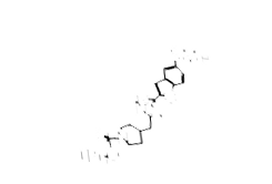 CSc1ccc2oc(-c3nc(CC4CCN(C(=O)OC(C)(C)C)CC4)no3)cc2c1